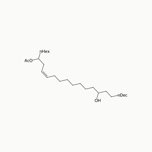 CCCCCCCCCCCCC(O)CCCCCCC/C=C\CC(CCCCCC)OC(C)=O